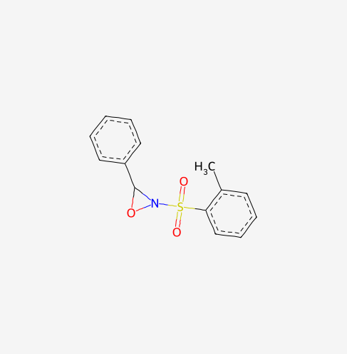 Cc1ccccc1S(=O)(=O)N1OC1c1ccccc1